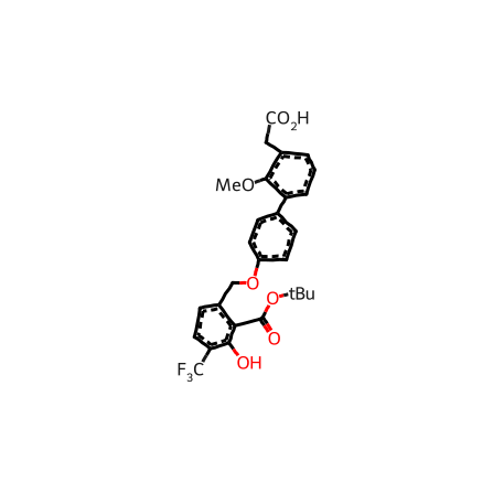 COc1c(CC(=O)O)cccc1-c1ccc(OCc2ccc(C(F)(F)F)c(O)c2C(=O)OC(C)(C)C)cc1